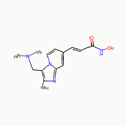 CCCCc1nc2cc(C=CC(=O)NO)ccn2c1CN(CCC)CCC